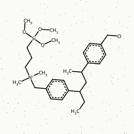 CCC(CC(C)c1ccc(CCl)cc1)c1ccc(C[N+](C)(C)CCC[Si](OC)(OC)OC)cc1